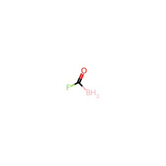 BC(=O)F